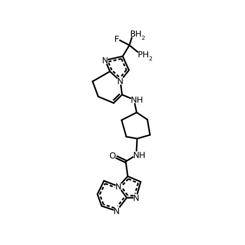 BC(F)(P)c1cn2c(n1)CCC=C2NC1CCC(NC(=O)c2cnc3ncccn23)CC1